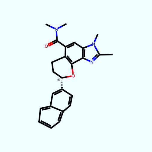 Cc1nc2c3c(c(C(=O)N(C)C)cc2n1C)CC[C@@H](c1ccc2ccccc2c1)O3